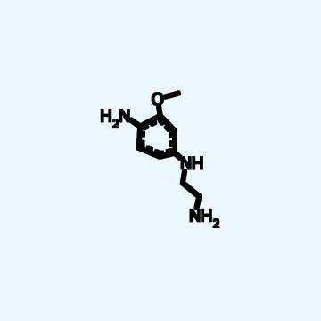 COc1cc(NCCN)ccc1N